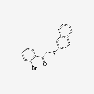 O=C(CSc1ccc2ccccc2c1)c1ccccc1Br